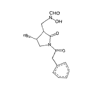 CCCCC1CN(C(=O)Cc2ccccc2)C(=O)C1CN(O)C=O